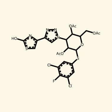 CC(=O)OCC1OC(Sc2cc(Cl)c(F)c(Cl)c2)C(OC(C)=O)C(n2cc(-c3csc(O)n3)nn2)C1OC(C)=O